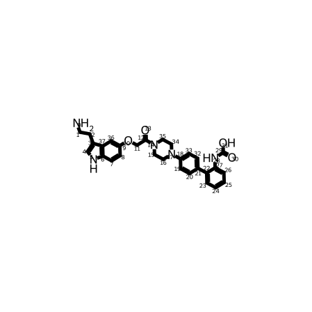 NCCc1c[nH]c2ccc(OCC(=O)N3CCN(c4ccc(-c5ccccc5NC(=O)O)cc4)CC3)cc12